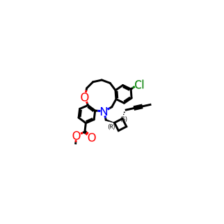 CC#CC[C@@H]1CC[C@H]1CN1Cc2ccc(Cl)cc2CCCCOc2ccc(C(=O)OC)cc21